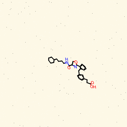 O=C(O)CCc1cccc(Cc2ccccc2C2=NC(C(=O)NCCCCC3CCCCC3)CO2)c1